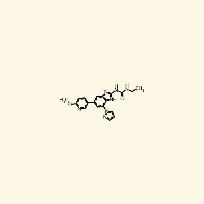 CCNC(=O)Nc1nc2cc(-c3ccc(OC)nc3)cc(-n3cccn3)c2[nH]1